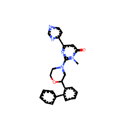 Cn1c(N2CCOC(c3ccccc3-c3ccccc3)C2)nc(-c2ccncn2)cc1=O